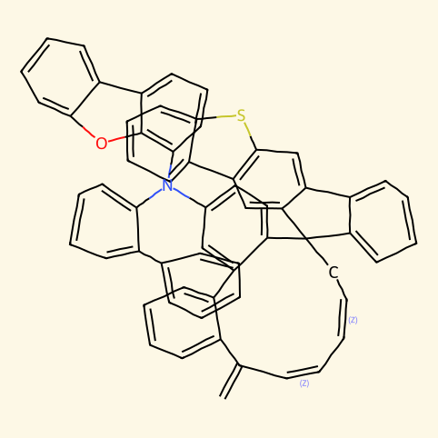 C=C1/C=C\C=C/CC2(c3ccc(N(c4ccccc4-c4ccccc4)c4cccc5c4oc4ccccc45)cc3-c3ccccc31)c1ccccc1-c1cc3sc4ccccc4c3cc12